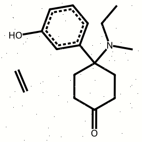 C=C.CCN(C)C1(c2cccc(O)c2)CCC(=O)CC1